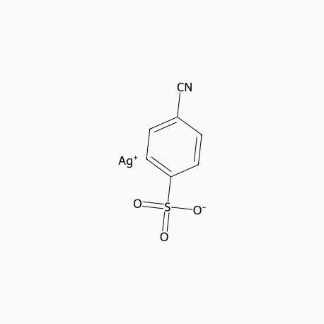 N#Cc1ccc(S(=O)(=O)[O-])cc1.[Ag+]